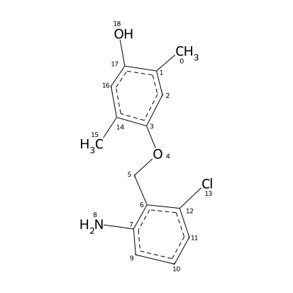 Cc1cc(OCc2c(N)cccc2Cl)c(C)cc1O